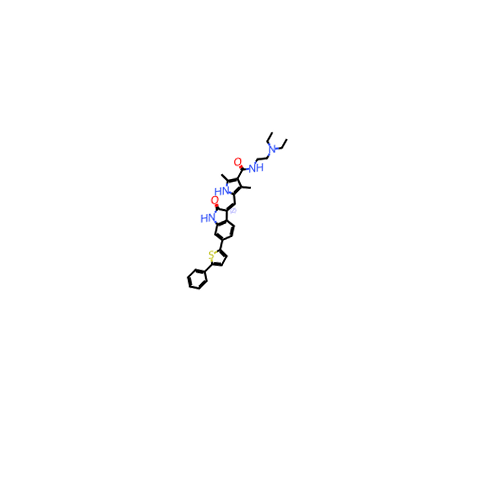 CCN(CC)CCNC(=O)c1c(C)[nH]c(/C=C2\C(=O)Nc3cc(-c4ccc(-c5ccccc5)s4)ccc32)c1C